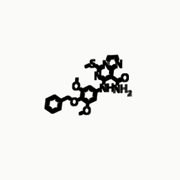 COc1cc(Nc2nc(SC)n3ccnc3c2C(N)=O)cc(OC)c1OCc1ccccc1